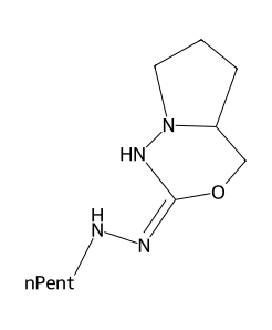 CCCCCNN=C1NN2CCCC2CO1